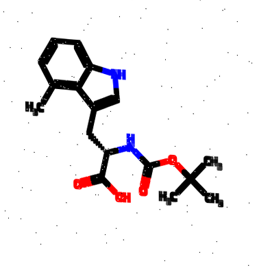 Cc1cccc2[nH]cc(C[C@H](NC(=O)OC(C)(C)C)C(=O)O)c12